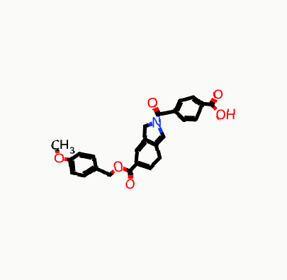 COc1ccc(COC(=O)C2=CCC3=CN(C(=O)c4ccc(C(=O)O)cc4)CC3=C2)cc1